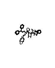 Cn1c(NC(=O)N(CCC(c2ccccc2)c2ccccc2)CCN2CCOCC2)nc2ccccc21